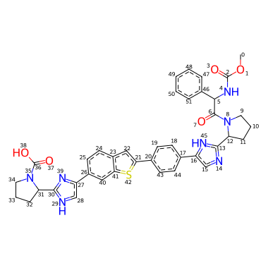 COC(=O)NC(C(=O)N1CCCC1c1ncc(-c2ccc(-c3cc4ccc(-c5c[nH]c(C6CCCN6C(=O)O)n5)cc4s3)cc2)[nH]1)c1ccccc1